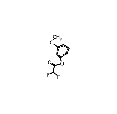 COc1cccc(OC(=O)C(F)F)c1